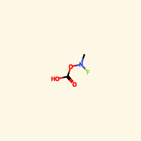 CN(F)OC(=O)O